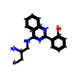 CC(C)C[C@@H](N)CNc1nc(-c2ccccc2O)nc2ccccc12